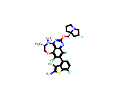 C[C@H]1COc2c(Cl)c(-c3ccc(F)c4sc(N)c(C#N)c34)c(F)c3nc(OC[C@@]45CCCN4C[C@H](F)C5)nc(c23)N1C